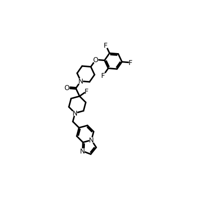 O=C(N1CCC(Oc2c(F)cc(F)cc2F)CC1)C1(F)CCN(Cc2ccn3ccnc3c2)CC1